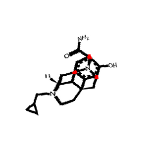 NC(=O)CN1CC[C@]23CCN(CC4CC4)[C@H](Cc4ccc(O)cc42)C3C1